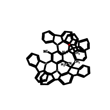 CC1(C)c2ccccc2-c2ccc3c4ccccc4n(-c4c(C#N)c(-n5c6ccccc6c6ccccc65)c(-n5c6ccccc6c6ccc7c(c65)C(C)(C)c5ccccc5-7)c(C#N)c4-n4c5ccccc5c5ccccc54)c3c21